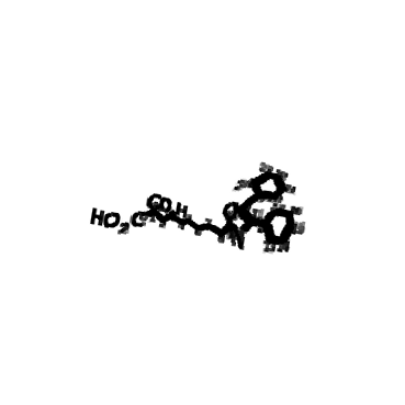 O=C(O)C(CCCCCCCc1nc(-c2ccccc2)c(-c2ccccc2)o1)C(=O)O